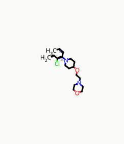 C=C/C(Cl)=C(\C=C/C)N1CCC(OCCN2CCOCC2)CC1